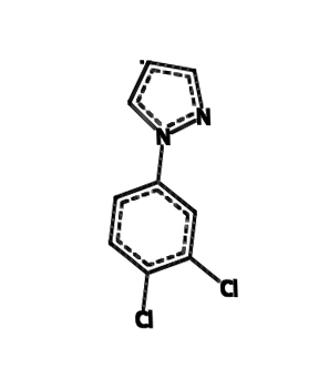 Clc1ccc(-n2c[c]cn2)cc1Cl